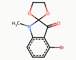 CN1c2cccc(Br)c2C(=O)C12OCCO2